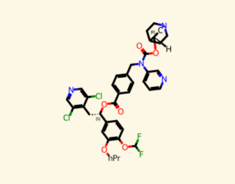 CCCOc1cc([C@H](Cc2c(Cl)cncc2Cl)OC(=O)c2ccc(CN(C(=O)O[C@H]3CN4CCC3CC4)c3cccnc3)cc2)ccc1OC(F)F